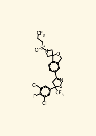 [O-][S+](CCC(F)(F)F)N1CC2(C1)OCc1cc(C3=NSC(c4cc(Cl)c(F)c(Cl)c4)(C(F)(F)F)C3)ccc12